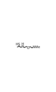 CNCCOCCNCC(C)S